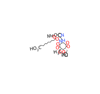 COc1ccnc(CN[C@H]2CC(=O)C(=O)[C@H](Cc3ccccc3)[C@H](OC(=O)C(C)C)[C@H](C)C(=O)C2=O)c1OC(=O)CCCCCCCCC(=O)O